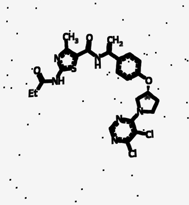 C=C(NC(=O)c1sc(NC(=O)CC)nc1C)c1ccc(O[C@@H]2CCN(c3ncnc(Cl)c3Cl)C2)cc1